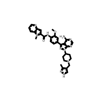 COc1cc(-c2nn(C3CCN(Cc4c[nH]nc4C)CC3)c3ncnc(N)c23)ccc1NC(=O)c1cc2ncccc2n1C